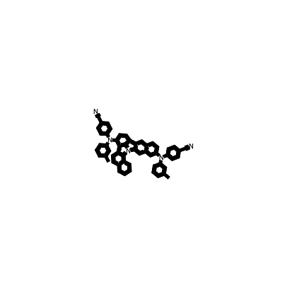 Cc1cccc(N(c2ccc(C#N)cc2)c2ccc3cc4c5ccc(N(c6ccc(C#N)cc6)c6cccc(C)c6)c6c7ccc8ccccc8c7n(c4cc3c2)c56)c1